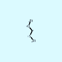 [CH2]CSCOCC